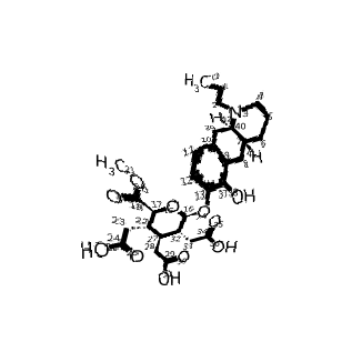 CCCN1CCC[C@@H]2Cc3c(ccc(O[C@@H]4O[C@H](C(=O)OC)[C@@H](CC(=O)O)[C@H](CC(=O)O)[C@H]4CC(=O)O)c3O)C[C@H]21